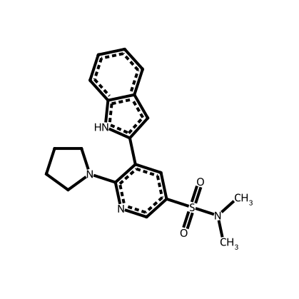 CN(C)S(=O)(=O)c1cnc(N2CCCC2)c(-c2cc3ccccc3[nH]2)c1